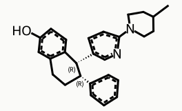 CC1CCN(c2ccc([C@H]3c4ccc(O)cc4CC[C@H]3c3ccccc3)cn2)CC1